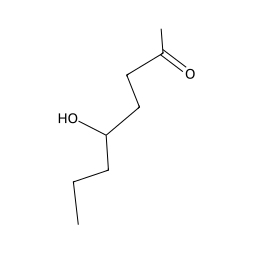 CCCC(O)CCC(C)=O